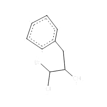 CC(Cc1ccccc1)C(Cl)Br